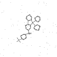 CS(C)(C)c1ccc(Nc2ccc3c(c2)C(c2ccccc2)(c2ccccc2)c2ccccc2-3)cc1